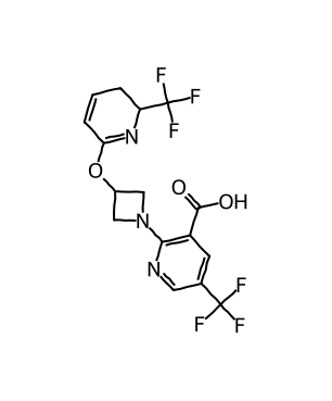 O=C(O)c1cc(C(F)(F)F)cnc1N1CC(OC2=NC(C(F)(F)F)CC=C2)C1